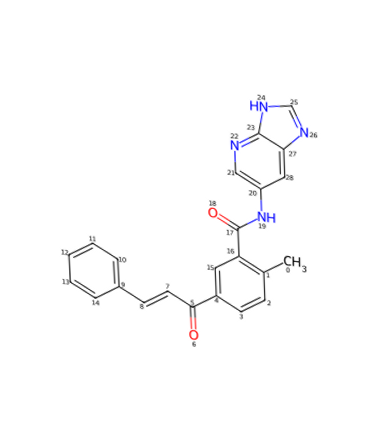 Cc1ccc(C(=O)/C=C/c2ccccc2)cc1C(=O)Nc1cnc2[nH]cnc2c1